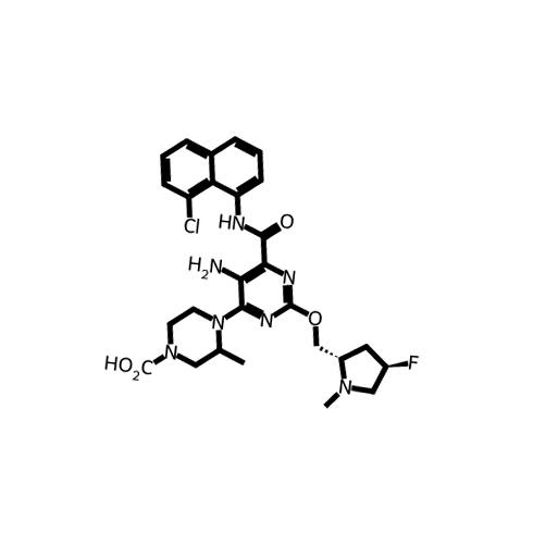 CC1CN(C(=O)O)CCN1c1nc(OC[C@@H]2C[C@@H](F)CN2C)nc(C(=O)Nc2cccc3cccc(Cl)c23)c1N